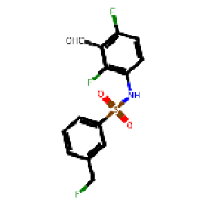 O=Cc1c(F)ccc(NS(=O)(=O)c2cccc(CF)c2)c1F